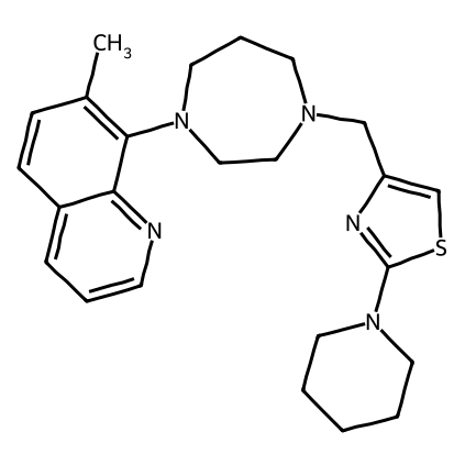 Cc1ccc2cccnc2c1N1CCCN(Cc2csc(N3CCCCC3)n2)CC1